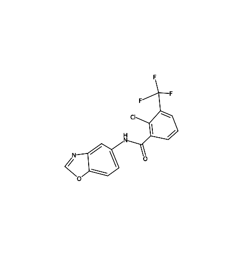 O=C(Nc1ccc2ocnc2c1)c1cccc(C(F)(F)F)c1Cl